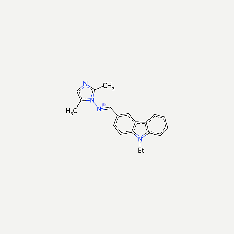 CCn1c2ccccc2c2cc(/C=N/n3c(C)cnc3C)ccc21